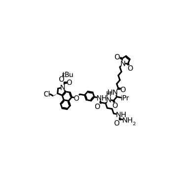 CC(C)C(NC(=O)CCCCCN1C(=O)C=CC1=O)C(=O)NC(CCCNC(N)=O)C(=O)Nc1ccc(COc2cc3c(c4ccccc24)[C@H](CCl)CN3C(=O)OC(C)(C)C)cc1